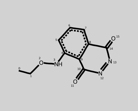 CCONc1cccc2c1C(=O)N=NC2=O